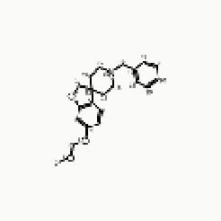 COCOc1ccc2c(c1)OCC21CCN(Cc2ccccc2)CC1